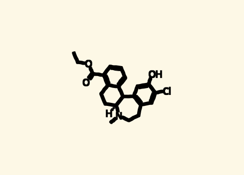 CCOC(=O)c1cccc2c1CC[C@H]1C2c2cc(O)c(Cl)cc2CCN1C